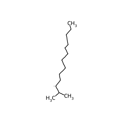 CCCCCCCCCC[CH]C(C)C